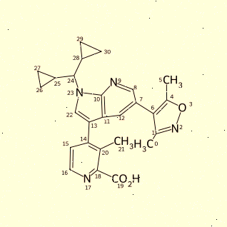 Cc1noc(C)c1-c1cnc2c(c1)c(-c1ccnc(C(=O)O)c1C)cn2C(C1CC1)C1CC1